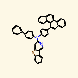 c1ccc(-c2ccc(N(c3ccc(-c4cc5ccccc5c5ccc6ccccc6c45)cc3)c3cc4sc5ccccc5c4cn3)cc2)cc1